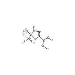 COC(OC)C1=NN(C)C(O)(C(F)(F)F)C1